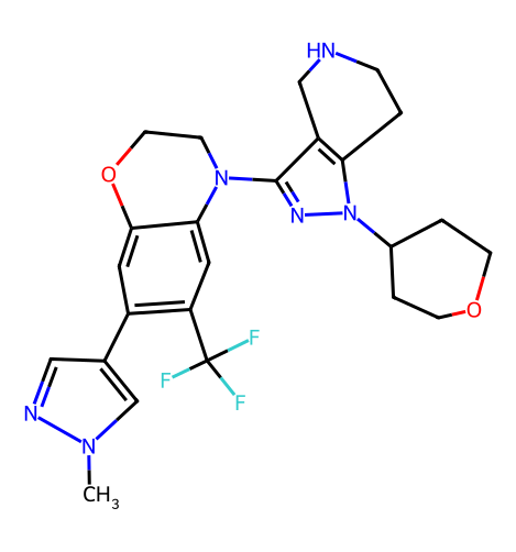 Cn1cc(-c2cc3c(cc2C(F)(F)F)N(c2nn(C4CCOCC4)c4c2CNCC4)CCO3)cn1